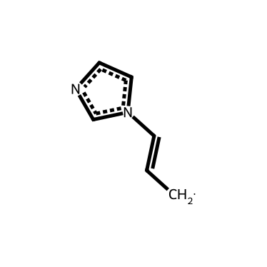 [CH2]/C=C/n1ccnc1